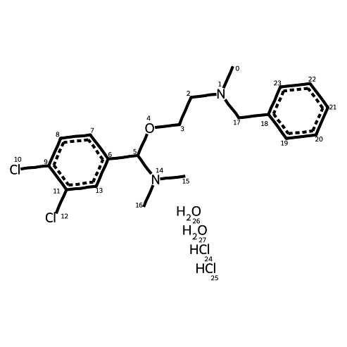 CN(CCOC(c1ccc(Cl)c(Cl)c1)N(C)C)Cc1ccccc1.Cl.Cl.O.O